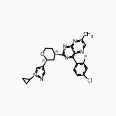 Cc1cnc2c(-c3ccc(Cl)cc3F)nc([C@@H]3CCO[C@H](c4cnn(C5CC5)c4)C3)nc2n1